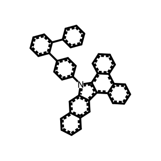 c1ccc(-c2ccccc2-c2ccc(-n3c4cc5ccccc5cc4c4c5ccccc5c5ccccc5c43)cc2)cc1